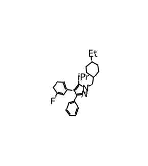 CCC1CCC(Cn2nc(-c3ccccc3)c(C3=CCCC(F)=C3)c2C(C)C)CC1